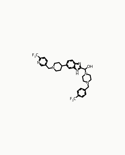 OC(c1nc2ccc(C3CCN(Cc4ccc(C(F)(F)F)nc4)CC3)cc2[nH]1)N1CCN(Cc2ccc(C(F)(F)F)cc2)CC1